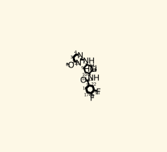 COc1ccnc(NC2CCC(NC(=O)c3ccc(F)c(F)c3)CC2)n1.Cl